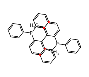 Cc1cccc(P(c2ccccc2)c2ccccc2)c1-c1c(C)cccc1P(c1ccccc1)c1ccccc1